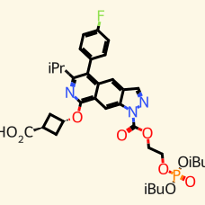 CC(C)COP(=O)(OCCOC(=O)n1ncc2cc3c(-c4ccc(F)cc4)c(C(C)C)nc(O[C@H]4C[C@H](C(=O)O)C4)c3cc21)OCC(C)C